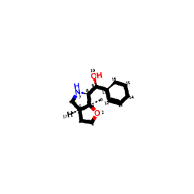 C[C@]12OCC[C@H]1CN[C@@H]2[C@@H](O)[C@@H]1C=CCCC1